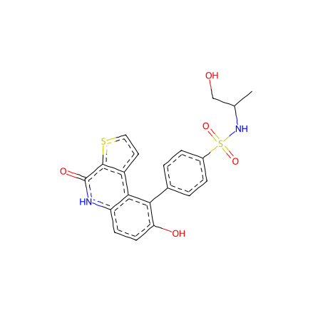 CC(CO)NS(=O)(=O)c1ccc(-c2c(O)ccc3[nH]c(=O)c4sccc4c23)cc1